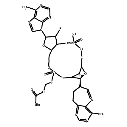 CC(C)(C)C(=O)OCSP1(=O)OCC2OC(n3cnc4c(N)ncnc43)C(F)C2OP(=O)(S)OCC2O[C@@H](C3C=Nc4c(N)ncnc4CC3)C(O1)C2O